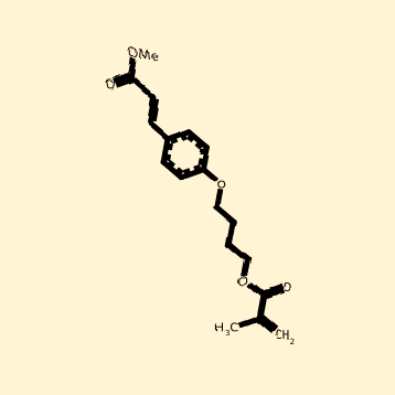 C=C(C)C(=O)OCCCCOc1ccc(C=CC(=O)OC)cc1